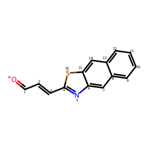 O=CC=Cc1nc2cc3ccccc3cc2s1